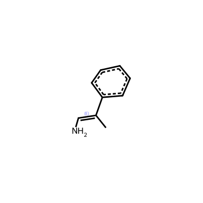 C/C(=C\N)c1ccccc1